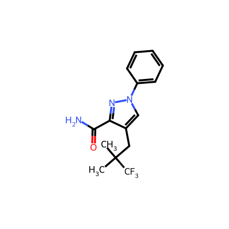 CC(C)(Cc1cn(-c2ccccc2)nc1C(N)=O)C(F)(F)F